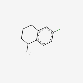 CNC1CCCc2cc(Cl)ccc21